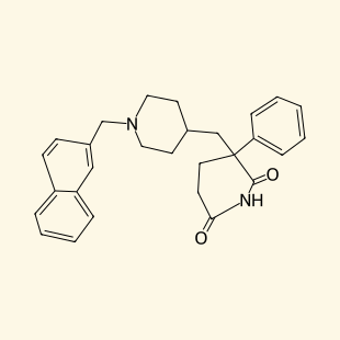 O=C1CCC(CC2CCN(Cc3ccc4ccccc4c3)CC2)(c2ccccc2)C(=O)N1